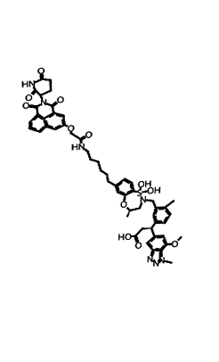 COc1cc([C@@H](CC(=O)O)c2ccc(C)c(CN3C[C@@H](C)Oc4cc(CCCCCCNC(=O)COc5cc6c7c(cccc7c5)C(=O)N(C5CCC(=O)NC5=O)C6=O)ccc4S3(O)O)c2)cc2nnn(C)c12